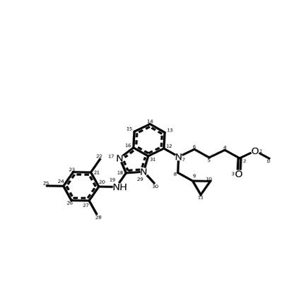 COC(=O)CCCN(CC1CC1)c1cccc2nc(Nc3c(C)cc(C)cc3C)n(C)c12